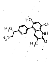 Cc1cc2c(-c3ccc([C@@H](C)CN)cc3)c(O)cc(C)c2[nH]c1=O